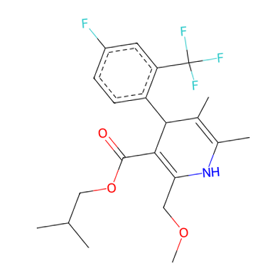 COCC1=C(C(=O)OCC(C)C)C(c2ccc(F)cc2C(F)(F)F)C(C)=C(C)N1